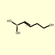 OCC/C=C/B(O)O